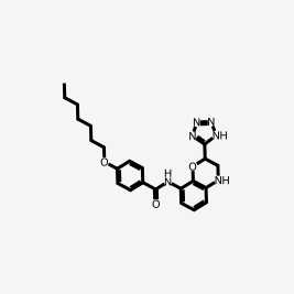 CCCCCCCOc1ccc(C(=O)Nc2cccc3c2OC(c2nnn[nH]2)CN3)cc1